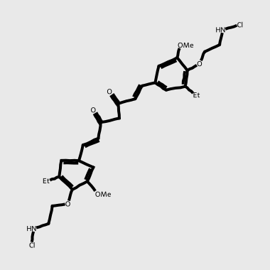 CCc1cc(/C=C/C(=O)CC(=O)/C=C/c2cc(CC)c(OCCNCl)c(OC)c2)cc(OC)c1OCCNCl